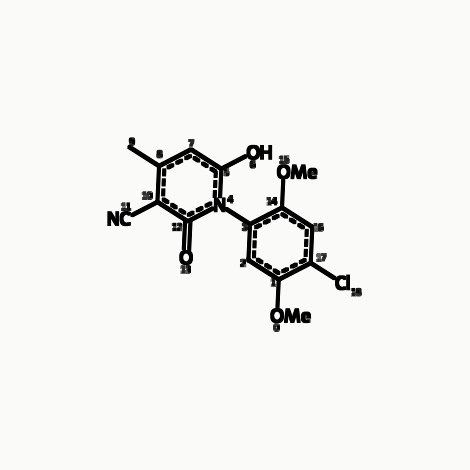 COc1cc(-n2c(O)cc(C)c(C#N)c2=O)c(OC)cc1Cl